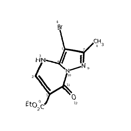 CCOC(=O)c1c[nH]c2c(Br)c(C)nn2c1=O